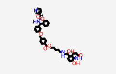 O=C(NC(c1ccccc1)c1cccc(OCc2ccc(C(=O)OCCCCCNC[C@H](O)c3ccc(O)c4[nH]c(=O)ccc34)cc2)c1)O[C@H]1CN2CCC1CC2